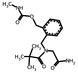 CNC(=O)OCc1ccccc1CN(CC(N)=O)C(=O)C(C)(C)C